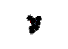 c1ccc(-c2ccc(N(c3cc4ccc5ccccc5c4c4ccccc34)c3cccc4c5ccccc5n(-c5ccccc5)c34)cc2)cc1